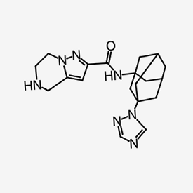 O=C(NC12CC3CC(C1)CC(n1cncn1)(C3)C2)c1cc2n(n1)CCNC2